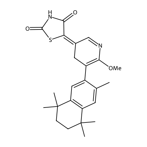 COC1=C(c2cc3c(cc2C)C(C)(C)CCC3(C)C)CC(=C2SC(=O)NC2=O)C=N1